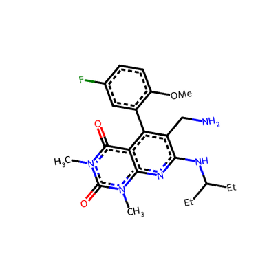 CCC(CC)Nc1nc2c(c(-c3cc(F)ccc3OC)c1CN)c(=O)n(C)c(=O)n2C